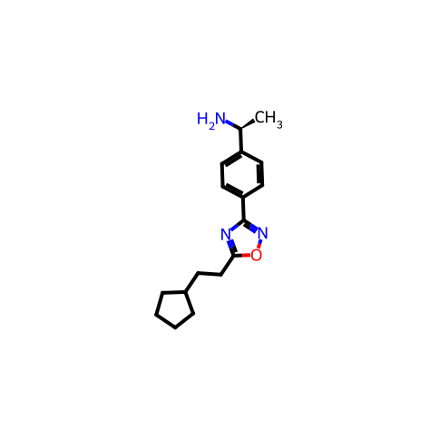 C[C@H](N)c1ccc(-c2noc(CCC3CCCC3)n2)cc1